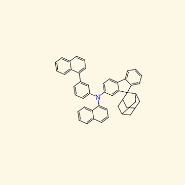 c1cc(-c2cccc3ccccc23)cc(N(c2ccc3c(c2)C2(c4ccccc4-3)C3CC4CC(C3)CC2C4)c2cccc3ccccc23)c1